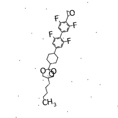 CCCCCC12COC(C3CCC(c4cc(F)c(-c5cc(F)c(C6CO6)c(F)c5)c(F)c4)CC3)(OC1)O2